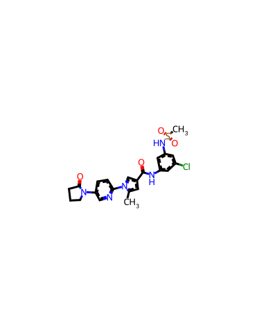 Cc1cc(C(=O)Nc2cc(Cl)cc(NS(C)(=O)=O)c2)cn1-c1ccc(N2CCCC2=O)cn1